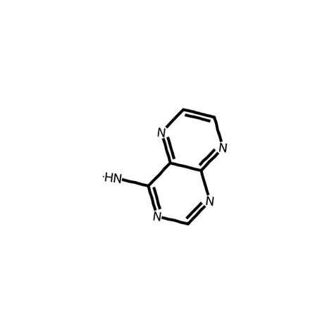 [NH]c1ncnc2nccnc12